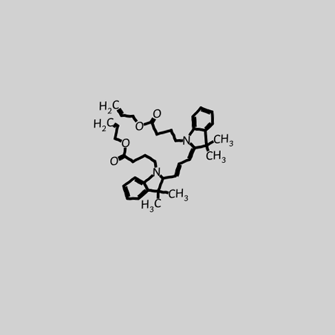 C=CCOC(=O)CCCN1C(=CC=CC2N(CCCC(=O)OCC=C)c3ccccc3C2(C)C)C(C)(C)c2ccccc21